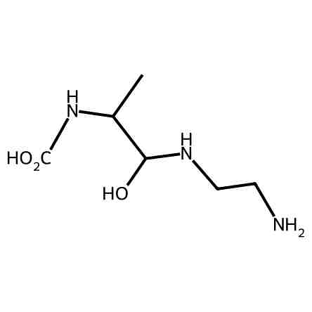 CC(NC(=O)O)C(O)NCCN